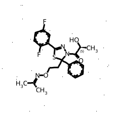 CC(C)=NOCCC1(c2ccccc2)SC(c2cc(F)ccc2F)=NN1C(=O)[C@H](C)O